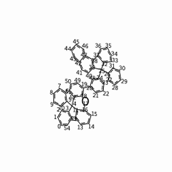 c1ccc(C2(c3ccccc3)c3ccccc3Oc3c(-c4cccc(C5(c6ccccc6)c6ccccc6-c6c5ccc5ccccc65)c4)cccc32)cc1